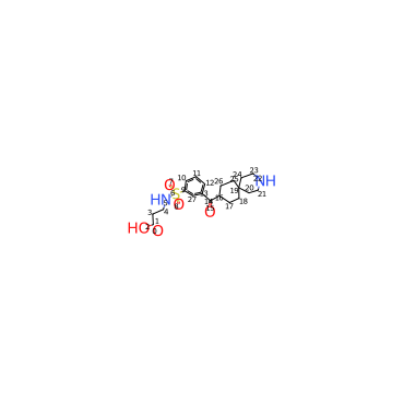 O=C(O)CCNS(=O)(=O)c1cccc(C(=O)C2CCC3(CCNCC3)CC2)c1